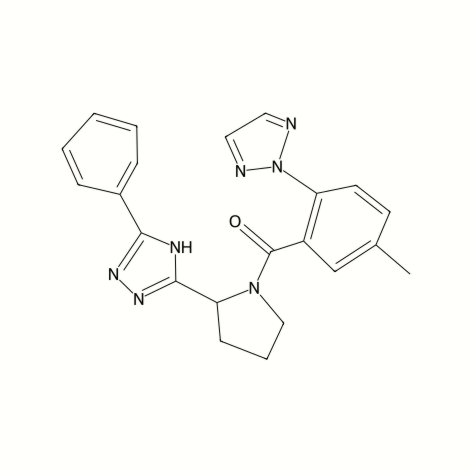 Cc1ccc(-n2nccn2)c(C(=O)N2CCCC2c2nnc(-c3ccccc3)[nH]2)c1